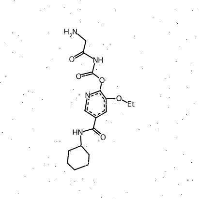 CCOc1cc(C(=O)NC2CCCCC2)cnc1OC(=O)NC(=O)CN